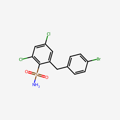 NS(=O)(=O)c1c(Cl)cc(Cl)cc1Cc1ccc(Br)cc1